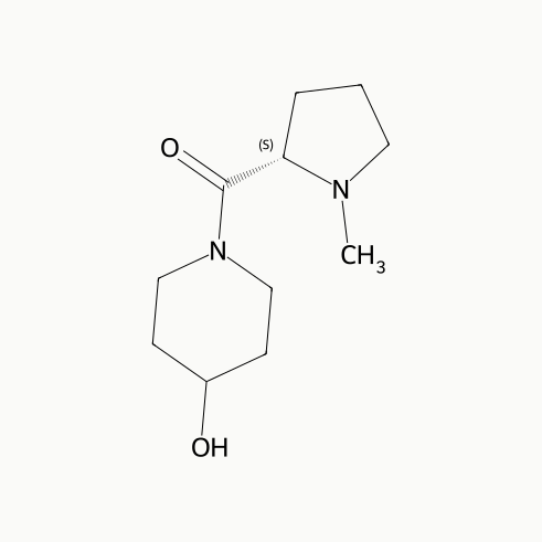 CN1CCC[C@H]1C(=O)N1CCC(O)CC1